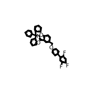 O=c1c2cc(COc3ccc(-c4cc(F)c(F)cc4F)cc3)ccc2on1C(c1ccccc1)(c1ccccc1)c1ccccc1